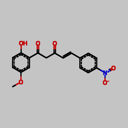 COc1ccc(O)c(C(=O)CC(=O)/C=C/c2ccc([N+](=O)[O-])cc2)c1